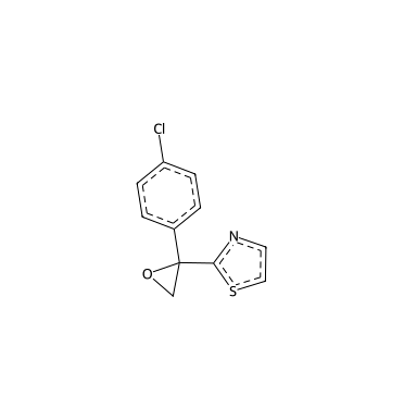 Clc1ccc(C2(c3nccs3)CO2)cc1